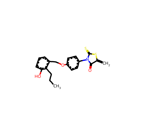 C=C1SC(=S)N(c2ccc(OCc3cccc(O)c3CCC)cc2)C1=O